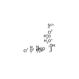 CO.O.O.O.O.O.O.[Cl-].[Cl-].[Sr+2]